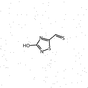 Oc1nsc(C=S)n1